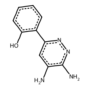 Nc1cc(-c2ccccc2O)nnc1N